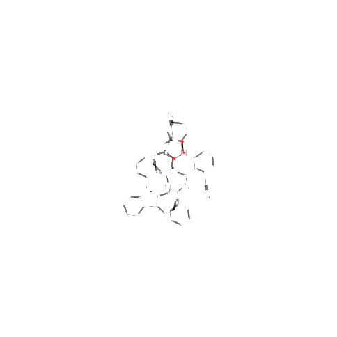 N#Cc1cccc(-c2cccc(-n3c4ccccc4c4ccccc43)c2-c2nc(-c3ccccc3)nc(-c3c(C#N)cccc3-n3c4ccccc4c4ccccc43)n2)c1